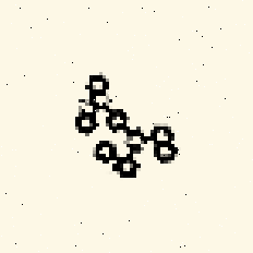 c1ccc2c(-c3cc(-c4ccc(-c5nc6ccccc6c6oc7ccccc7c56)cc4)nc(-c4cccc5oc6ccccc6c45)n3)cccc2c1